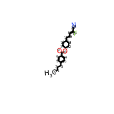 CCCCc1ccc(C(=O)OC2CCC(CCC=C(F)C#N)CC2)cc1